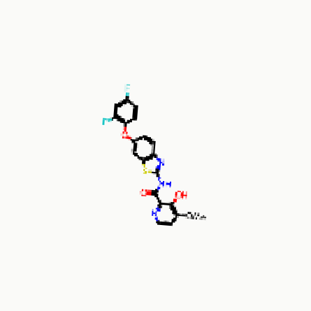 COc1ccnc(C(=O)Nc2nc3ccc(Oc4ccc(F)cc4F)cc3s2)c1O